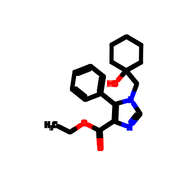 CCOC(=O)c1ncn(CC2(O)CCCCC2)c1-c1ccccc1